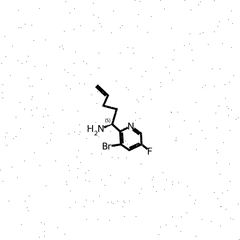 C=CCC[C@H](N)c1ncc(F)cc1Br